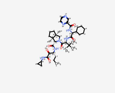 CCC[C@@H](NC(=O)[C@@H]1[C@H]2CCC[C@H]2CN1C(=O)[C@@H](NC(=O)[C@@H](NC(=O)c1cnccn1)C1CCCCC1)C(C)(C)C)C(=O)C(=O)NC1CC1